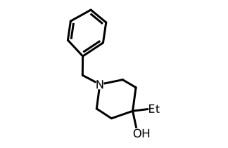 [CH2-][CH+]C1(O)CCN(Cc2ccccc2)CC1